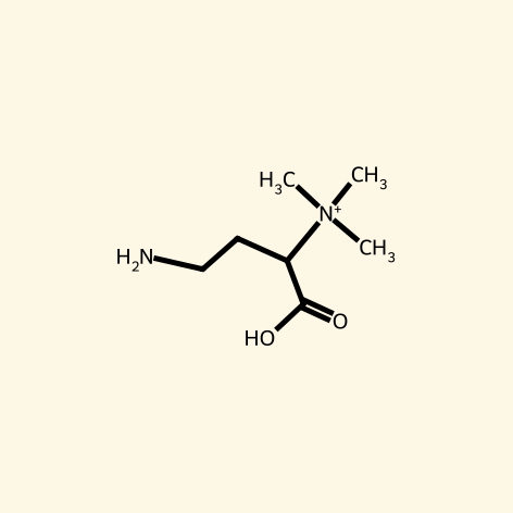 C[N+](C)(C)C(CCN)C(=O)O